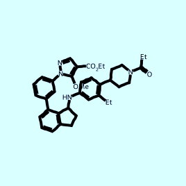 CCOC(=O)c1cnn(-c2cccc(-c3cccc4c3C(Nc3ccc(C5CCN(C(=O)CC)CC5)c(CC)c3)CC4)c2)c1OC